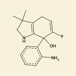 CC1(C)CNC2=C1CC=C(F)C2(O)c1ccccc1N